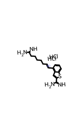 Cl.Cl.N=C(N)CCCCC/C=C/c1cccc2sc(C(=N)N)cc12